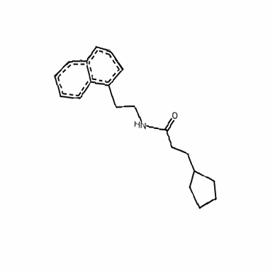 O=C(CCC1CCCC1)NCCc1cccc2ccccc12